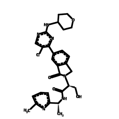 Cc1cccc([C@@H](C)NC(=O)[C@@H](CO)N2Cc3ccc(-c4nc(NC5CCOCC5)ncc4Cl)cc3C2=O)n1